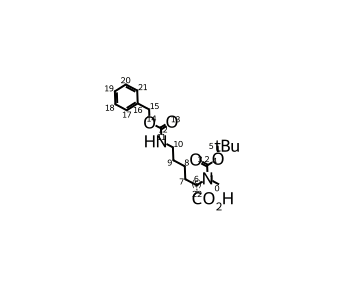 CN(C(=O)OC(C)(C)C)[C@@H](CCCCNC(=O)OCc1ccccc1)C(=O)O